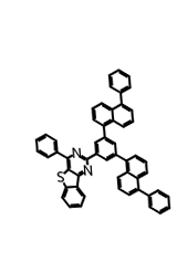 c1ccc(-c2cccc3c(-c4cc(-c5nc(-c6ccccc6)c6sc7ccccc7c6n5)cc(-c5cccc6c(-c7ccccc7)cccc56)c4)cccc23)cc1